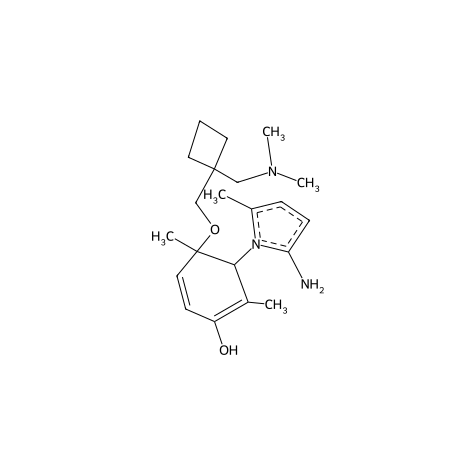 CC1=C(O)C=CC(C)(OCC2(CN(C)C)CCC2)C1n1c(C)ccc1N